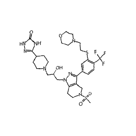 CS(=O)(=O)N1CCc2c(c(-c3ccc(C(F)(F)F)c(SCCN4CCOCC4)c3)nn2CC(O)CN2CCC(c3n[nH]c(=O)[nH]3)CC2)C1